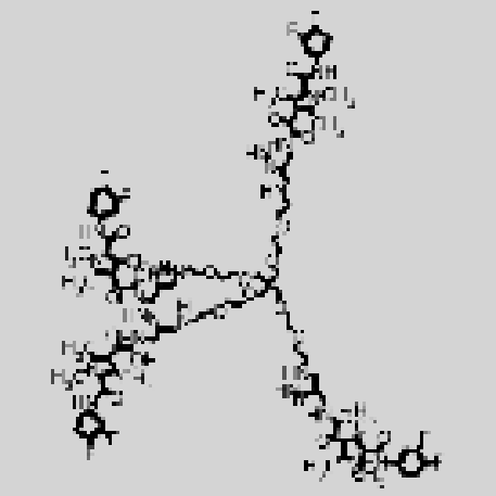 Cc1c(C(=O)C(=O)NC/C(=C/NCCOCCOCC(COCCOCCN/C=C(/CNC(=O)C(=O)c2c(C)c(C(=O)Nc3ccc(F)c(F)c3)n(C)c2C)N=N)(COCCOCCN/C=C(/CNC(O)C(=O)c2c(C)c(C(=O)Nc3ccc(F)c(F)c3)n(C)c2C)N=N)COCCOCCn2cc(CNC(=O)C(=O)c3c(C)c(C(=O)Nc4ccc(F)c(F)c4)n(C)c3C)nn2)N=N)c(C)n(C)c1C(=O)Nc1ccc(F)c(F)c1